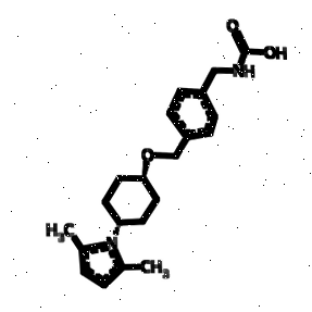 Cc1ccc(C)n1[C@H]1CC[C@H](OCc2ccc(CNC(=O)O)cc2)CC1